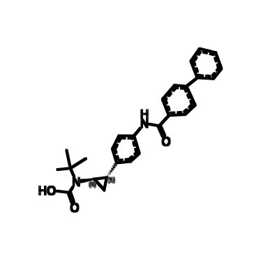 CC(C)(C)N(C(=O)O)[C@@H]1C[C@H]1c1ccc(NC(=O)c2ccc(-c3ccccc3)cc2)cc1